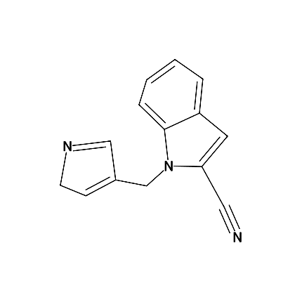 N#Cc1cc2ccccc2n1CC1=CCN=C1